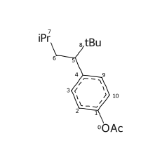 CC(=O)Oc1ccc(C(CC(C)C)C(C)(C)C)cc1